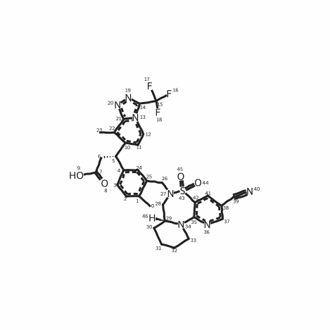 Cc1ccc([C@H](CC(=O)O)c2ccn3c(C(F)(F)F)nnc3c2C)cc1CN1C[C@H]2CCCCN2c2ncc(C#N)cc2S1(=O)=O